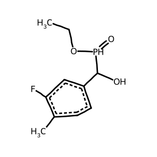 CCO[PH](=O)C(O)c1ccc(C)c(F)c1